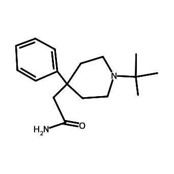 CC(C)(C)N1CCC(CC(N)=O)(c2ccccc2)CC1